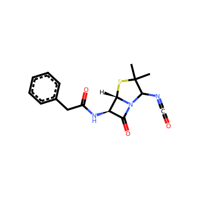 CC1(C)S[C@H]2[C@H](NC(=O)Cc3ccccc3)C(=O)N2C1N=C=O